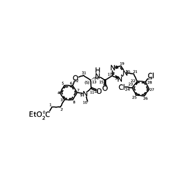 CCOC(=O)CCc1ccc2c(c1)N(C)C(=O)[C@@H](NC(=O)c1ncn(Cc3c(Cl)cccc3Cl)n1)CO2